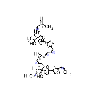 C/C=C\c1nc(C(=O)O[C@@H](C/C=C\[C@H]2N[C@H]2/C=C/C=C\c2nc(C(=O)O[C@@H](C/C=C\C3N[C@H]3C)C(C)(C)C(C)O)cs2)C(C)(C)[C@@H](O)/C=C/C)co1